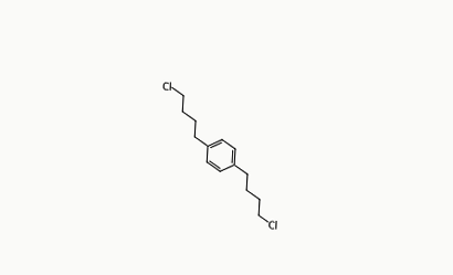 ClCCCCc1ccc(CCCCCl)cc1